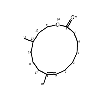 CC1=CCCCCCC(=O)OCCC(C)CCC1